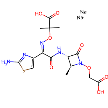 C[C@H]1[C@H](NC(=O)C(=NOC(C)(C)C(=O)O)c2csc(N)n2)C(=O)N1OCC(=O)O.[Na].[Na]